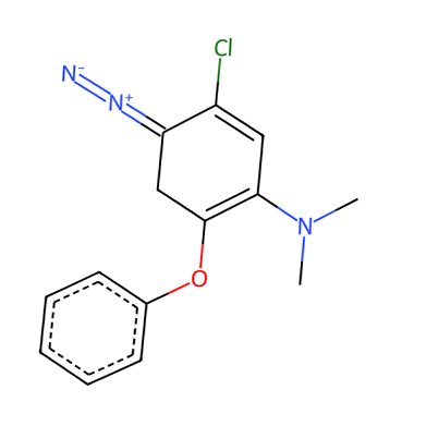 CN(C)C1=C(Oc2ccccc2)CC(=[N+]=[N-])C(Cl)=C1